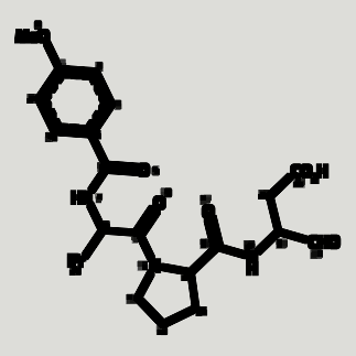 COc1ccc(C(=O)NC(C(=O)N2CCCC2C(=O)NC(C=O)CC(=O)O)C(C)C)cc1